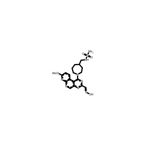 COc1ccc2c(ncc3nc(/C=N/O)nc(N4CCCC(CNS(N)(=O)=O)CC4)c32)n1